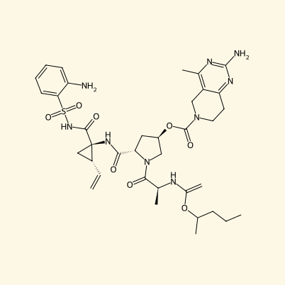 C=C[C@@H]1C[C@]1(NC(=O)[C@@H]1C[C@@H](OC(=O)N2CCc3nc(N)nc(C)c3C2)CN1C(=O)[C@H](C)NC(=C)OC(C)CCC)C(=O)NS(=O)(=O)c1ccccc1N